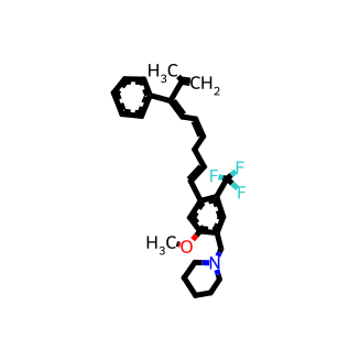 C=C(C)/C(=C\C=C/C/C=C/c1cc(OC)c(CN2CCCCC2)cc1C(F)(F)F)c1ccccc1